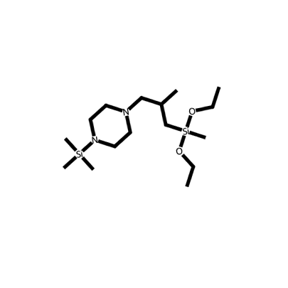 CCO[Si](C)(CC(C)CN1CCN([Si](C)(C)C)CC1)OCC